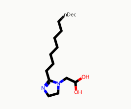 CCCCCCCCCCCCCCCCCC1=NCCN1CC(O)O